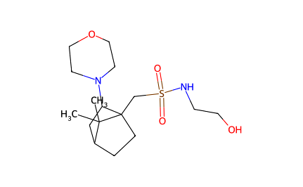 CC1(C)C2CCC1(CS(=O)(=O)NCCO)C(N1CCOCC1)C2